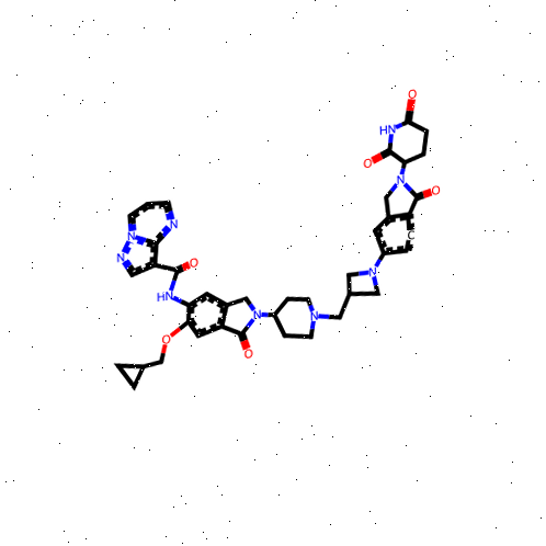 O=C1CCC(N2Cc3cc(N4CC(CN5CCC(N6Cc7cc(NC(=O)c8cnn9cccnc89)c(OCC8CC8)cc7C6=O)CC5)C4)ccc3C2=O)C(=O)N1